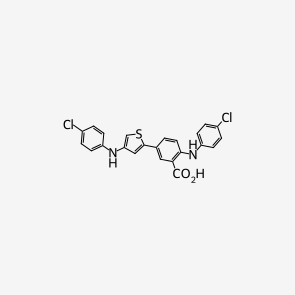 O=C(O)c1cc(-c2cc(Nc3ccc(Cl)cc3)cs2)ccc1Nc1ccc(Cl)cc1